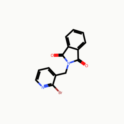 O=C1c2ccccc2C(=O)N1Cc1cccnc1Br